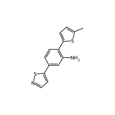 Cc1ccc(-c2ccc(-c3ccns3)cc2N)s1